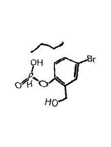 CCCC.O=[PH](O)Oc1ccc(Br)cc1CO